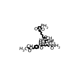 CC(C)C(=O)OCc1ccc(NC(=O)C(CCCNC(N)=O)NC(=O)[C@@H](NC(=O)CCCCCN2C(=O)CC(P)C2=O)C(C)C)cc1